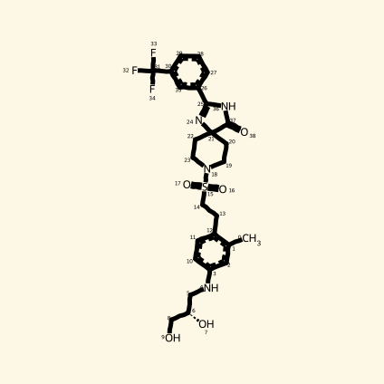 Cc1cc(NC[C@H](O)CO)ccc1CCS(=O)(=O)N1CCC2(CC1)N=C(c1cccc(C(F)(F)F)c1)NC2=O